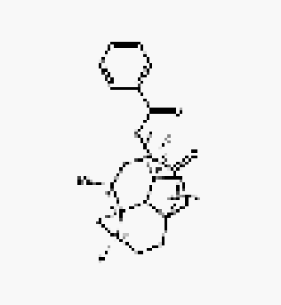 CO[C@@H]1CCC23CC[C@H]4C[C@@]4(C12)[C@H](O)C[C@@](C)(SC(=O)c1ccccc1)C(=O)[C@@H]3C